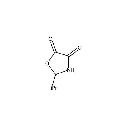 C[C](C)C1NC(=O)C(=O)O1